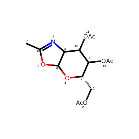 CC(=O)OC[C@@H]1OC2OC(C)=NC2C(OC(C)=O)C1OC(C)=O